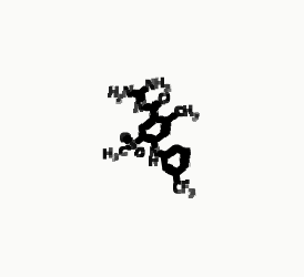 Cc1cc(Nc2cccc(C(F)(F)F)c2)c(S(C)(=O)=O)cc1C(=O)N=C(N)N